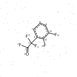 O=C(F)C(F)(F)c1cccc(F)c1F